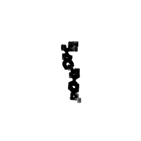 O=C(NO)c1cc2c(s1)CCN(c1ncc(-c3ccc(C(F)(F)F)cc3)s1)C2